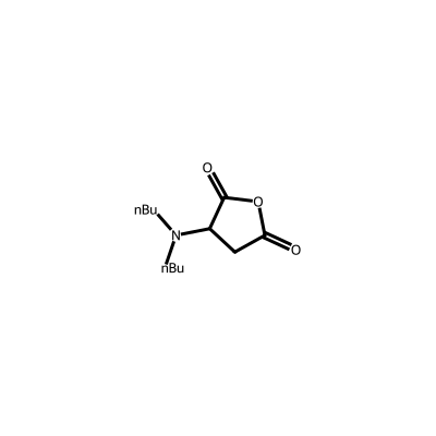 CCCCN(CCCC)C1CC(=O)OC1=O